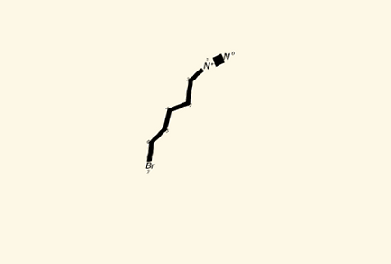 N#[N+]CCCCCBr